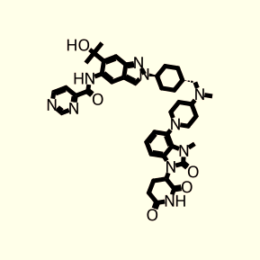 CN(C[C@H]1CC[C@H](n2cc3cc(NC(=O)c4ccncn4)c(C(C)(C)O)cc3n2)CC1)C1CCN(c2cccc3c2n(C)c(=O)n3C2CCC(=O)NC2=O)CC1